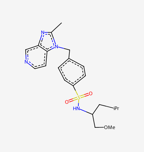 COCC(CC(C)C)NS(=O)(=O)c1ccc(Cn2c(C)nc3cnccc32)cc1